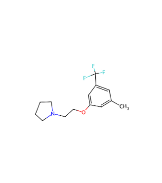 Cc1cc(OCCN2CCCC2)cc(C(F)(F)F)c1